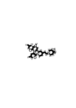 CC(C)CC(C(=O)N1CCC(CCN2CCC(F)(F)CC2)CC1)N1CCN(C)[C@@H](CC(C)C)C1=O